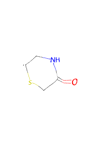 O=C1CS[CH]CN1